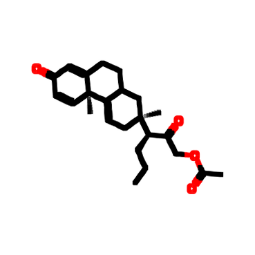 CCC[C@H](C(=O)COC(C)=O)[C@@]1(C)CC=C2C(CCC3=CC(=O)C=C[C@@]32C)C1